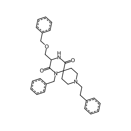 O=C1C(COCc2ccccc2)NC(=O)C2(CCN(CCc3ccccc3)CC2)N1Cc1ccccc1